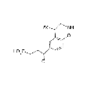 CC(=O)C1CNOc2ccc(C(=O)CCC(=O)O)cc21